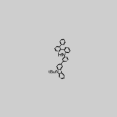 CC(C)(C)n1c2ccccc2c2cc(-c3cccc(Nc4ccccc4-c4ccccc4-c4ccccc4)c3)ccc21